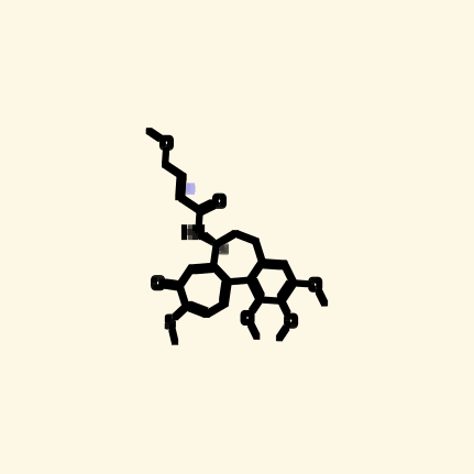 COC/C=C/C(=O)N[C@H]1CCc2cc(OC)c(OC)c(OC)c2-c2ccc(SC)c(=O)cc21